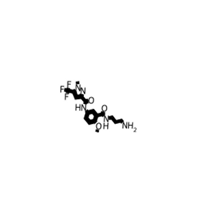 COc1ccc(NC(=O)c2cc(C(F)(F)F)n(C)n2)cc1C(=O)NCCCN